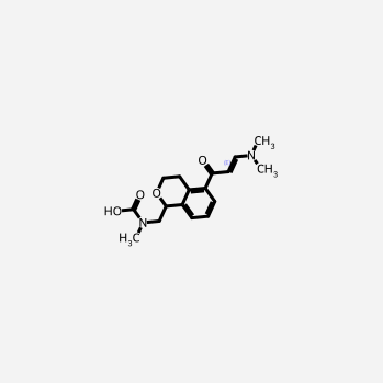 CN(C)/C=C/C(=O)c1cccc2c1CCOC2CN(C)C(=O)O